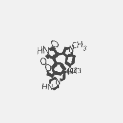 Cl.Cl.Cn1cc(C2=C(c3cccc4ccoc34)C(=O)NC2=O)c2cc(OCCN3CCNCC3)ccc21